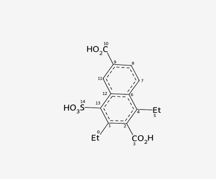 CCc1c(C(=O)O)c(CC)c2ccc(C(=O)O)cc2c1S(=O)(=O)O